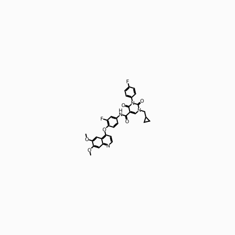 COc1cc2nccc(Oc3ccc(NC(=O)c4cn(CC5CC5)c(=O)n(-c5ccc(F)cc5)c4=O)cc3F)c2cc1OC